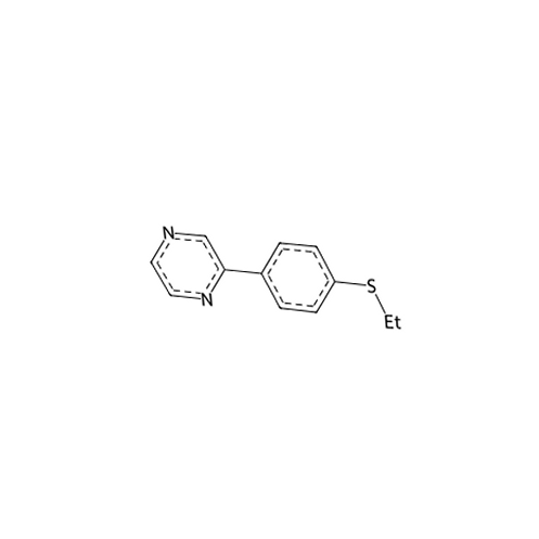 CCSc1ccc(-c2cnccn2)cc1